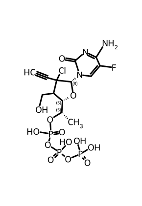 C#CC1(Cl)C(CO)[C@@H]([C@H](C)OP(=O)(O)OP(=O)(O)OP(=O)(O)O)O[C@H]1n1cc(F)c(N)nc1=O